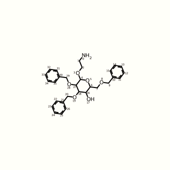 NCCOC1OC(COCc2ccccc2)C(O)C(OCc2ccccc2)C1OCc1ccccc1